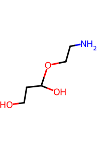 NCCOC(O)CCO